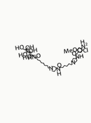 COc1cc(N)c(Cl)cc1C(=O)NC1CCN(CCCCCC(=O)NC2CCN(CCCCCCCC(=O)NC[C@H](O)[C@@H](O)[C@H](O)[C@H](O)CO)CC2)CC1